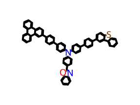 c1ccc2oc(-c3ccc(N(c4ccc(-c5ccc(-c6ccc7sc8ccccc8c7c6)cc5)cc4)c4ccc(-c5ccc(-c6ccc7c8ccccc8c8ccccc8c7c6)cc5)cc4)cc3)nc2c1